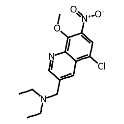 CCN(CC)Cc1cnc2c(OC)c([N+](=O)[O-])cc(Cl)c2c1